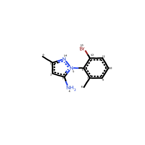 Cc1cc(N)n(-c2c(C)cccc2Br)n1